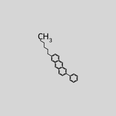 CCCCCCc1ccc2cc3cc(-c4ccccc4)ccc3cc2c1